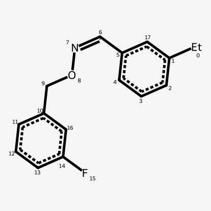 CCc1cccc(/[C]=N\OCc2cccc(F)c2)c1